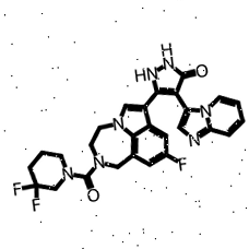 O=C(N1CCn2cc(-c3[nH][nH]c(=O)c3-c3cnc4ccccn34)c3cc(F)cc(c32)C1)N1CCCC(F)(F)C1